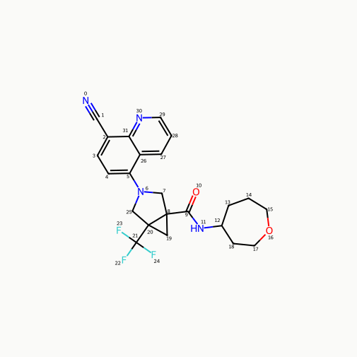 N#Cc1ccc(N2CC3(C(=O)NC4CCCOCC4)CC3(C(F)(F)F)C2)c2cccnc12